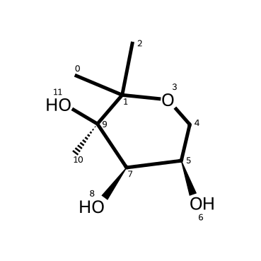 CC1(C)OC[C@@H](O)[C@@H](O)[C@@]1(C)O